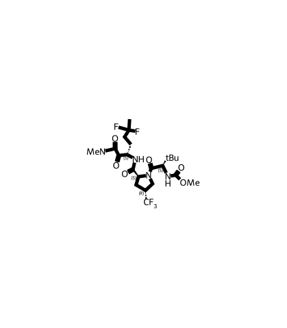 CNC(=O)C(=O)[C@H](CCC(C)(F)F)NC(=O)[C@@H]1C[C@@H](C(F)(F)F)CN1C(=O)[C@@H](NC(=O)OC)C(C)(C)C